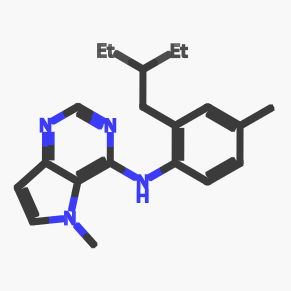 CCC(CC)Cc1cc(C)ccc1Nc1ncnc2ccn(C)c12